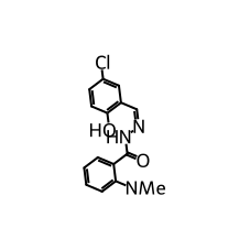 CNc1ccccc1C(=O)N/N=C\c1cc(Cl)ccc1O